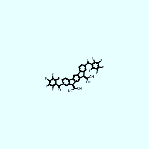 N#CC(C#N)=C1c2cc(C(=O)c3c(F)c(F)c(F)c(F)c3F)ccc2-c2cc3c(cc21)C(=C(C#N)C#N)c1cc(C(=O)c2c(F)c(F)c(F)c(F)c2F)ccc1-3